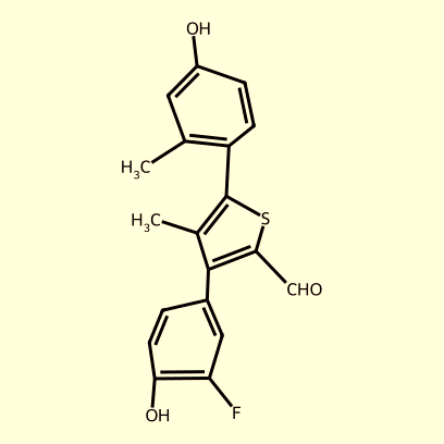 Cc1cc(O)ccc1-c1sc(C=O)c(-c2ccc(O)c(F)c2)c1C